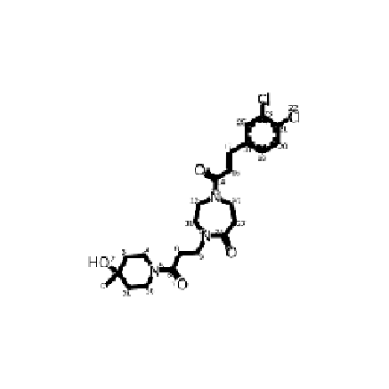 CC1(O)CCN(C(=O)CCN2CCN(C(=O)/C=C/c3ccc(Cl)c(Cl)c3)CCC2=O)CC1